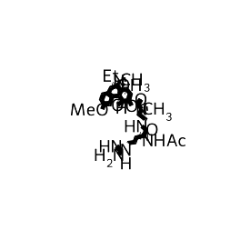 CCN(C)[C@@H]1Cc2ccc(OC)c3c2C2[C@@H](O3)C(OC(=O)N(C)CCNC(=O)[C@H](CCCNC(=N)N)NC(C)=O)=CC[C@]21O